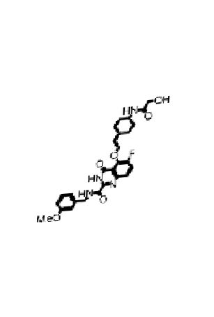 COc1cccc(CNC(=O)c2nc3ccc(F)c(OCCC4CCC(NC(=O)CO)CC4)c3c(=O)[nH]2)c1